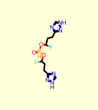 O=[PH](OC(F)CCc1nc[nH]n1)OC(F)CCc1nc[nH]n1